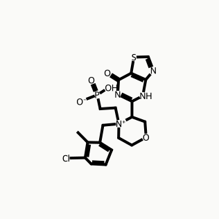 Cc1c(Cl)cccc1C[N+]1(CCP(=O)([O-])O)CCOCC1c1nc(=O)c2scnc2[nH]1